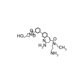 CCCN(CCCN)C(=O)C1=Cc2ccc(-c3cccc(S(=O)(=O)N4CC(CO)C4)c3)cc2N=C(N)C1